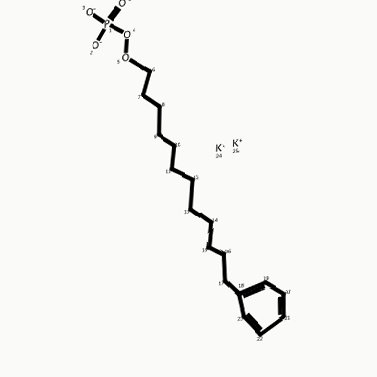 O=P([O-])([O-])OOCCCCCCCCCCCCc1ccccc1.[K+].[K+]